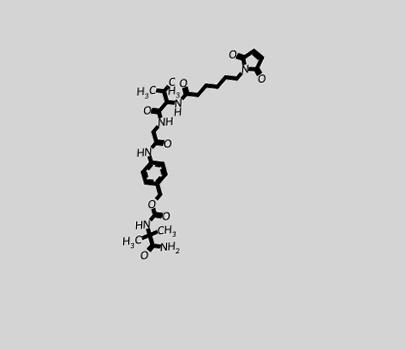 CC(C)C(NC(=O)CCCCCN1C(=O)C=CC1=O)C(=O)NCC(=O)Nc1ccc(COC(=O)NC(C)(C)C(N)=O)cc1